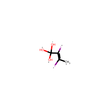 CC(I)=C(I)C(O)(O)O